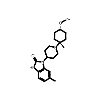 Cc1ccc2[nH]c(=O)n(C3CCN([C@]4(C)CC[C@H](OC(C)C)CC4)CC3)c2c1